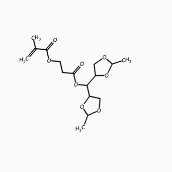 C=C(C)C(=O)OCCC(=O)OC(C1COC(C)O1)C1COC(C)O1